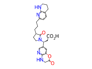 O=C(O)C[C@@H](c1cnc2c(c1)OC(=O)CN2)N1CCC(CCCc2ccc3c(n2)NCCC3)C1=O